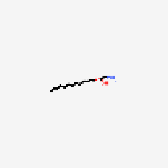 CCCCCCCCCCCCCOC(O)CN